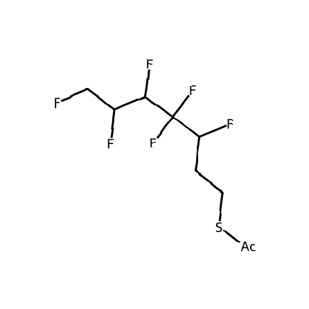 CC(=O)SCCC(F)C(F)(F)C(F)C(F)CF